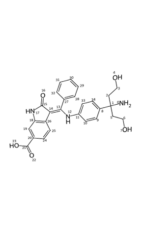 NC(CCO)(CCO)c1ccc(NC(=C2C(=O)Nc3cc(C(=O)O)ccc32)c2ccccc2)cc1